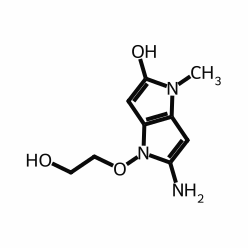 Cn1c(O)cc2c1cc(N)n2OCCO